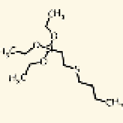 CCCCSCC[Si](OCC)(OCC)OCC